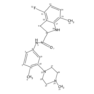 Cc1ccc(NC(=O)C2Cc3c(F)ccc(C)c3N2)cc1N1CCN(C)CC1